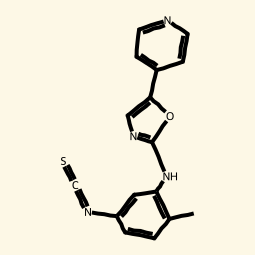 Cc1ccc(N=C=S)cc1Nc1ncc(-c2ccncc2)o1